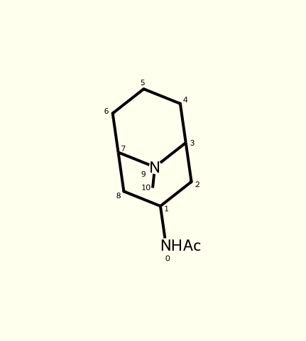 CC(=O)NC1CC2CCCC(C1)N2C